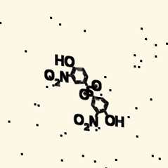 O=[N+]([O-])c1cc(S(=O)(=O)c2ccc(O)c([N+](=O)[O-])c2)ccc1O